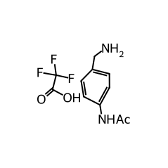 CC(=O)Nc1ccc(CN)cc1.O=C(O)C(F)(F)F